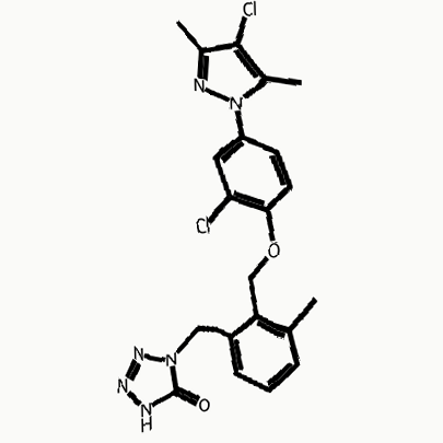 Cc1cccc(Cn2nn[nH]c2=O)c1COc1ccc(-n2nc(C)c(Cl)c2C)cc1Cl